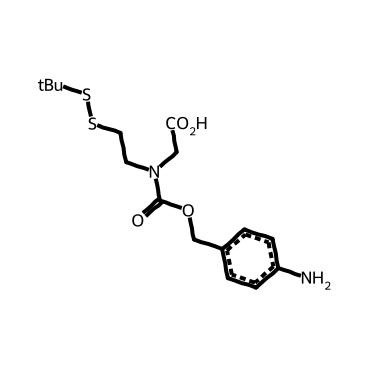 CC(C)(C)SSCCN(CC(=O)O)C(=O)OCc1ccc(N)cc1